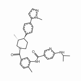 Cc1ccc(C(=O)N2CC[C@H](c3ccc(-c4ccnn4C)cc3)[C@@H](C)C2)cc1NC(=O)c1ccc(NC(C)C)nc1